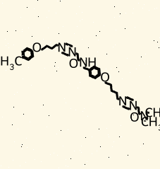 Cc1ccc(OCCCCN2CCN(CC(=O)NCc3ccc(OCCCCCN4CCN(CC(=O)N(C)C)CC4)cc3)CC2)cc1